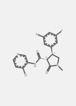 CN1C[C@H](c2cc(F)cc(F)c2)[C@@H](C(=O)Nc2cnccc2Cl)C1=O